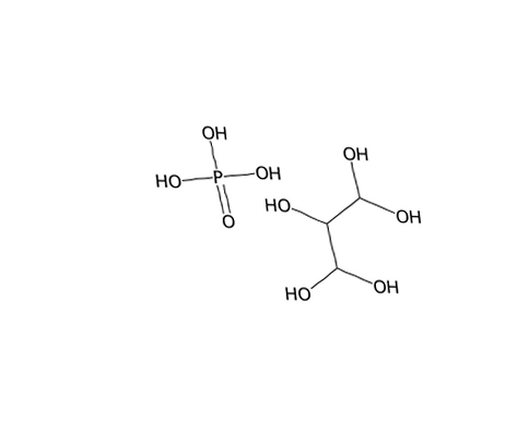 O=P(O)(O)O.OC(O)C(O)C(O)O